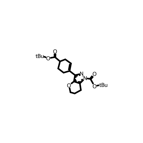 CC(C)(C)OC(=O)C1CC=C(c2nn(C(=O)OC(C)(C)C)c3c2OCCC3)CC1